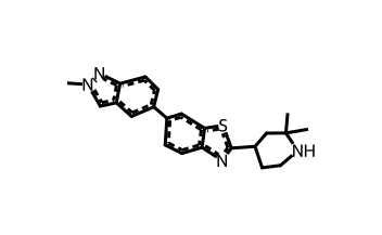 Cn1cc2cc(-c3ccc4nc(C5CCNC(C)(C)C5)sc4c3)ccc2n1